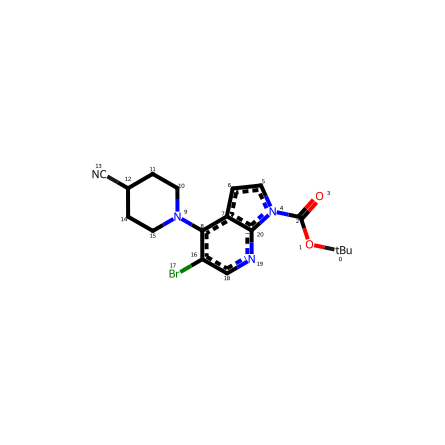 CC(C)(C)OC(=O)n1ccc2c(N3CCC(C#N)CC3)c(Br)cnc21